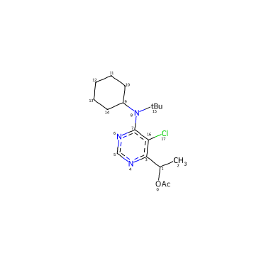 CC(=O)OC(C)c1ncnc(N(C2CCCCC2)C(C)(C)C)c1Cl